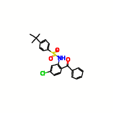 CC(C)(C)c1ccc(S(=O)(=O)Nc2cc(Cl)ccc2C(=O)c2ccccc2)cc1